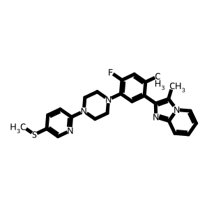 CSc1ccc(N2CCN(c3cc(-c4nc5ccccn5c4C)c(C)cc3F)CC2)nc1